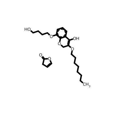 CCCCCCCCOC1=C(O)c2cccc(OCCCCO)c2OC1.O=C1CC=CO1